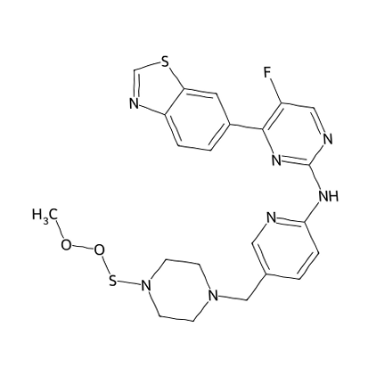 COOSN1CCN(Cc2ccc(Nc3ncc(F)c(-c4ccc5ncsc5c4)n3)nc2)CC1